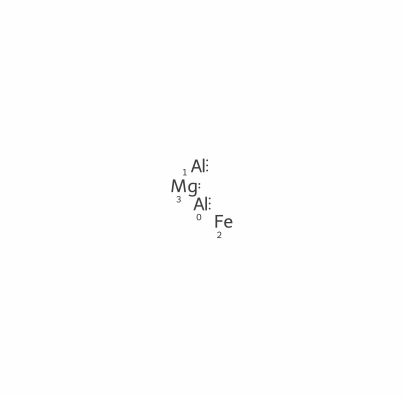 [Al].[Al].[Fe].[Mg]